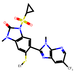 CCSc1cc2c(cc1-c1nc3cc(C(F)(F)F)cnc3n1C)n(S(=O)(=O)C1CC1)c(=O)n2C